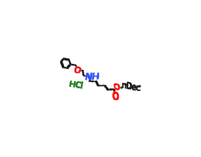 CCCCCCCCCCCOC(=O)CCCCCNCCOCc1ccccc1.Cl